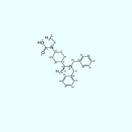 CCN(C(=O)O)C1CCC([C@H](C)N(Cc2ccccc2)Cc2ccccc2)CC1